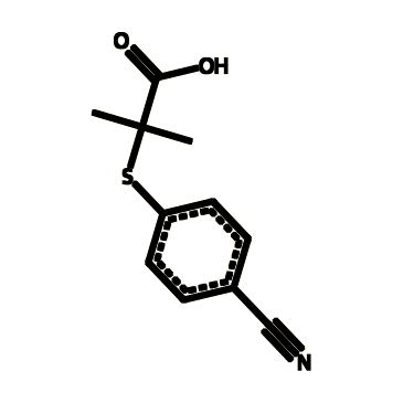 CC(C)(Sc1ccc(C#N)cc1)C(=O)O